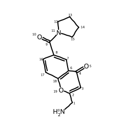 NCc1cc(=O)c2cc(C(=O)N3CCCC3)ccc2o1